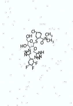 CN(C)C(=O)c1ccc(Cl)cc1SC1OC(CO)C(O)C(n2cc(-c3cc(F)c(F)c(F)c3)nn2)C1OCc1nnn[nH]1